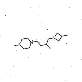 CC(CCN1CCN(C)CC1)CN1CC(C)C1